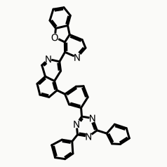 c1ccc(-c2nc(-c3ccccc3)nc(-c3cccc(-c4cccc5cnc(-c6nccc7c6oc6ccccc67)cc45)c3)n2)cc1